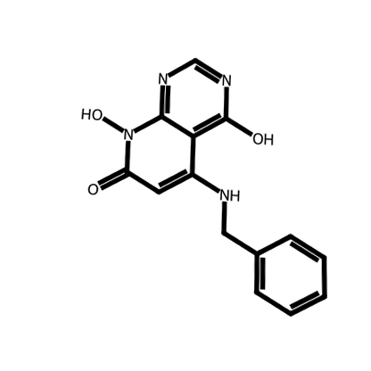 O=c1cc(NCc2ccccc2)c2c(O)ncnc2n1O